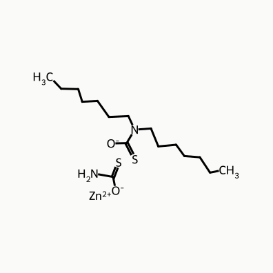 CCCCCCCN(CCCCCCC)C([O-])=S.NC([O-])=S.[Zn+2]